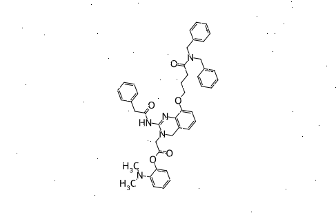 CN(C)c1ccccc1OC(=O)CN1Cc2cccc(OCCCC(=O)N(Cc3ccccc3)Cc3ccccc3)c2N=C1NC(=O)Cc1ccccc1